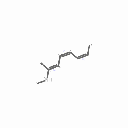 C\C=C/C=C\C=C(/C)NC